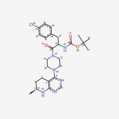 C[C@H]1CCc2c(ncnc2N2CCN(C(=O)C(Cc3ccc(Cl)cc3)NC(=O)OC(C)(C)C)CC2)N1